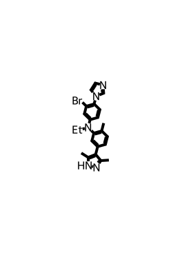 CCN(c1ccc(-n2ccnc2)c(Br)c1)c1cc(-c2c(C)n[nH]c2C)ccc1C